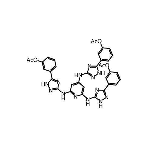 CC(=O)Oc1cccc(-c2n[nH]c(Nc3cc(Nc4n[nH]c(-c5cccc(OC(C)=O)c5)n4)cc(Nc4n[nH]c(-c5cccc(OC(C)=O)c5)n4)n3)n2)c1